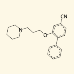 N#Cc1ccc(-c2ccccc2)c(OCCCN2CCCCC2)c1